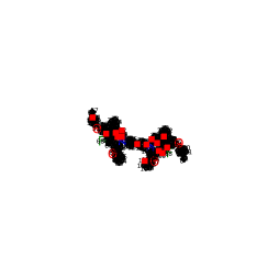 C=Cc1ccc(Oc2ccc(C3(c4ccc(C)c(F)c4)c4ccccc4-c4ccc(N(c5ccc(-c6ccc(N(c7ccc8c(c7)C(c7ccc(Oc9ccc(C=C)cc9)cc7)(c7ccc(C)c(F)c7)c7ccccc7-8)c7ccc8oc9ccccc9c8c7)cc6)cc5)c5ccc6oc7ccccc7c6c5)cc43)cc2)cc1